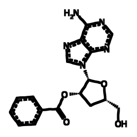 Nc1ncnc2c1ncn2[C@@H]1O[C@H](CO)C[C@@H]1OC(=O)c1ccccc1